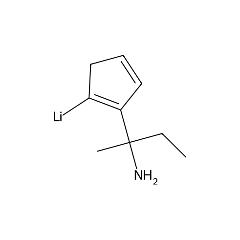 [Li][C]1=C(C(C)(N)CC)C=CC1